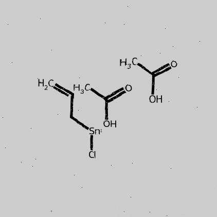 C=C[CH2][Sn][Cl].CC(=O)O.CC(=O)O